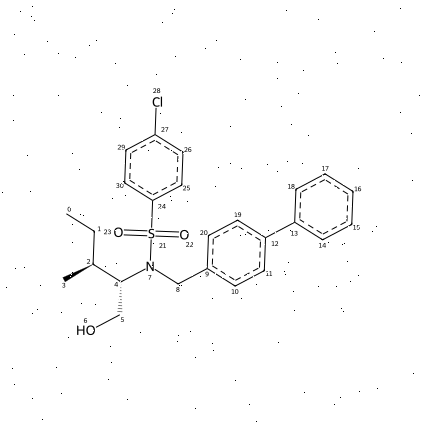 CC[C@H](C)[C@@H](CO)N(Cc1ccc(-c2ccccc2)cc1)S(=O)(=O)c1ccc(Cl)cc1